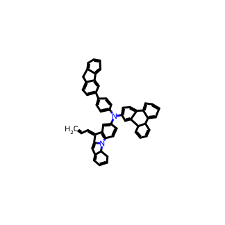 C=C/C=c1\c2n(c3ccc(N(c4ccc(-c5ccc6c(c5)-c5ccccc5C6)cc4)c4ccc5c(c4)C4C=CC=CC4c4ccccc4-5)cc13)C1CC=CC=C1C=2